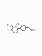 CNCC1CCC(C(=O)N(C)C(C)C(=O)C(C)(C)C)CC1